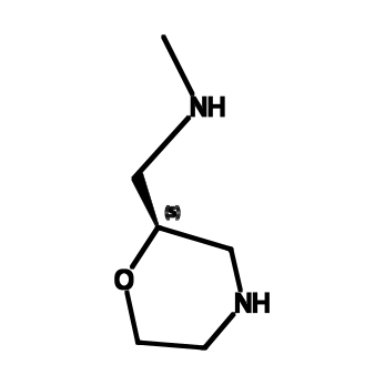 CNC[C@H]1CNCCO1